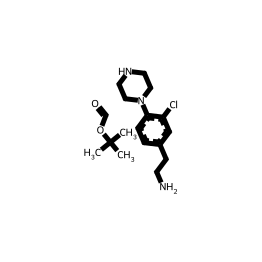 CC(C)(C)OC=O.NCCc1ccc(N2CCNCC2)c(Cl)c1